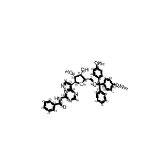 COc1ccc(C(OC[C@H]2O[C@@H](c3cnn4c(NC(=O)c5ccccc5)ncnc34)[C@H](O)[C@@H]2O)(c2ccccc2)c2ccc(OC)cc2)cc1